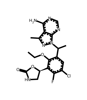 CCOc1c(C(C)n2nc(C)c3c(N)ncnc32)cc(Cl)c(F)c1[C@H]1CNC(=O)O1